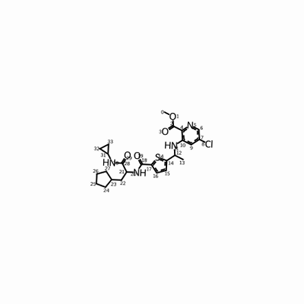 COC(=O)c1ncc(Cl)cc1NC(C)c1ccc(C(=O)NC(CC2CCCC2)C(=O)NC2CC2)s1